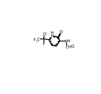 O=CNc1ccc(C(F)(Cl)C(F)(F)F)[nH]c1=O